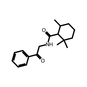 CC1CCCC(C)(C)C1C(=O)NCC(=O)c1ccccc1